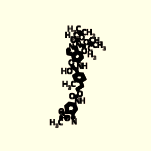 CCS(=O)(=O)c1ccc(NC(=O)OCCc2ccc(C(Nc3ccc4c(N(C(=O)OC(C)(C)C)C(=O)OC(C)(C)C)nccc4c3)C(=O)O)cc2C)cc1C#N